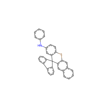 c1ccc(Nc2ccc3c(c2)C2(c4cc5ccccc5cc4S3)c3ccccc3-c3ccccc32)cc1